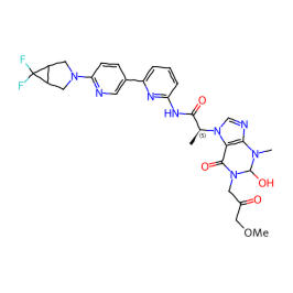 COCC(=O)CN1C(=O)c2c(ncn2[C@@H](C)C(=O)Nc2cccc(-c3ccc(N4CC5C(C4)C5(F)F)nc3)n2)N(C)C1O